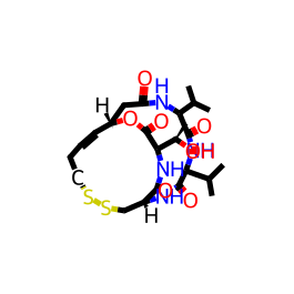 CC(C)C1NC(=O)C[C@H]2/C=C/CCSSC[C@@H](NC(=O)C(C(C)C)NC1=O)C(=O)NC([C@@H](C)O)C(=O)O2